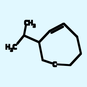 CC(C)C1C=CCCCCC1